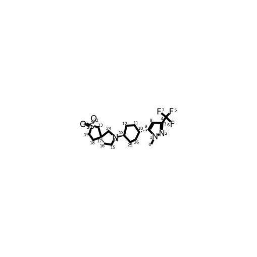 Cn1nc(C(F)(F)F)cc1[C@H]1CC[C@H](N2CC[C@@]3(CCS(=O)(=O)C3)C2)CC1